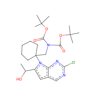 CC(O)c1cc2cnc(Cl)nc2n1C1(CN(C(=O)OC(C)(C)C)C(=O)OC(C)(C)C)CCCCC1